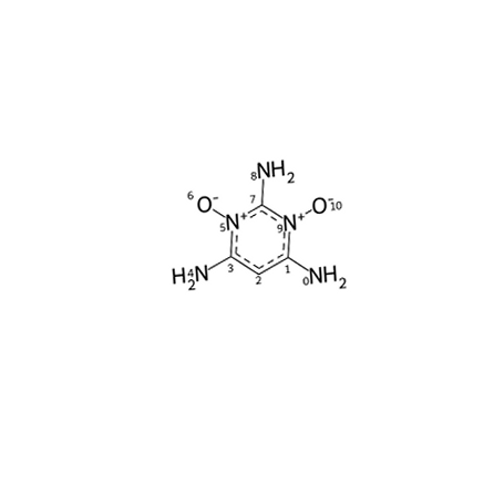 Nc1cc(N)[n+]([O-])c(N)[n+]1[O-]